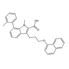 Cc1ccccc1-c1cccc2c(CCCOc3cccc4ccccc34)c(C(=O)O)n(C)c12